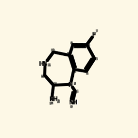 N=CN1c2ccc(F)cc2CNCC1N